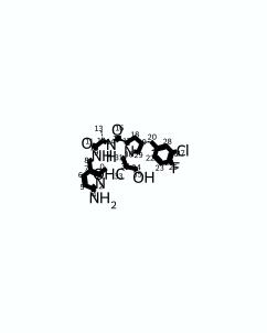 Cc1nc(N)ccc1CNC(=O)[C@H](C)NC(=O)[C@H]1C[C@H](Cc2ccc(F)c(Cl)c2)CN1CC(C=O)CO